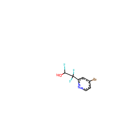 OC(F)C(F)(F)c1cc(Br)ccn1